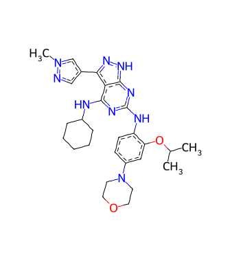 CC(C)Oc1cc(N2CCOCC2)ccc1Nc1nc(NC2CCCCC2)c2c(-c3cnn(C)c3)n[nH]c2n1